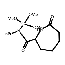 CCCN(C(=O)C1CCCCC(=O)N1)[Si](OC)(OC)OC